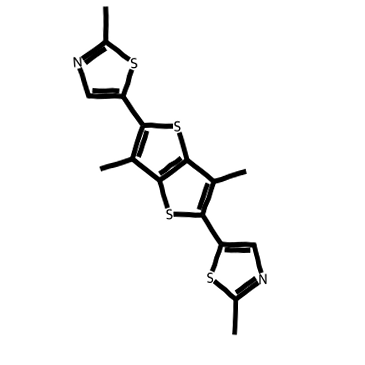 Cc1ncc(-c2sc3c(C)c(-c4cnc(C)s4)sc3c2C)s1